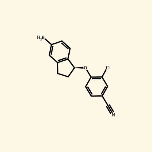 Bc1ccc2c(c1)CC[C@@H]2Oc1ccc(C#N)cc1Cl